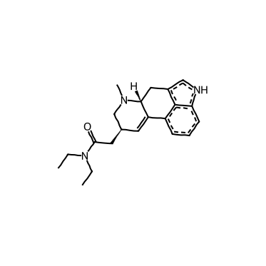 CCN(CC)C(=O)C[C@@H]1C=C2c3cccc4[nH]cc(c34)C[C@H]2N(C)C1